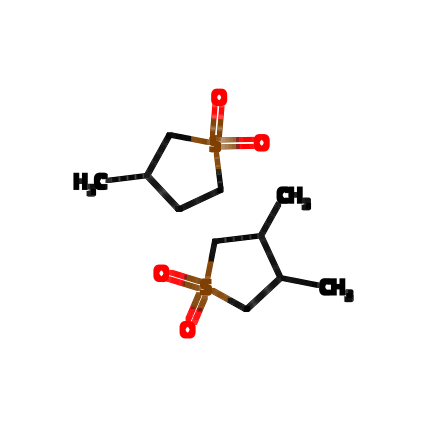 CC1CCS(=O)(=O)C1.CC1CS(=O)(=O)CC1C